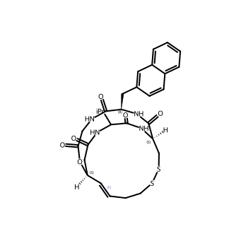 CC(C)C1NC(=O)C[C@H]2/C=C/CCSSC[C@@H](NC1=O)C(=O)N[C@H](Cc1ccc3ccccc3c1)C(=O)NCC(=O)O2